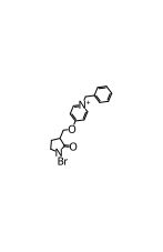 O=C1C(COc2cc[n+](Cc3ccccc3)cc2)CCN1Br